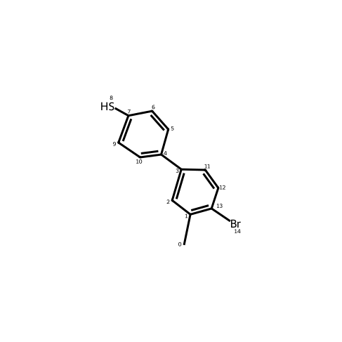 Cc1cc(-c2ccc(S)cc2)ccc1Br